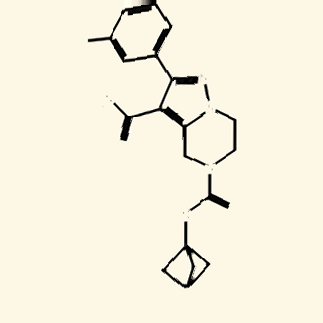 NC(=O)c1c(-c2cccc(F)c2)nn2c1CN(C(=O)NC13CC(C1)C3)CC2